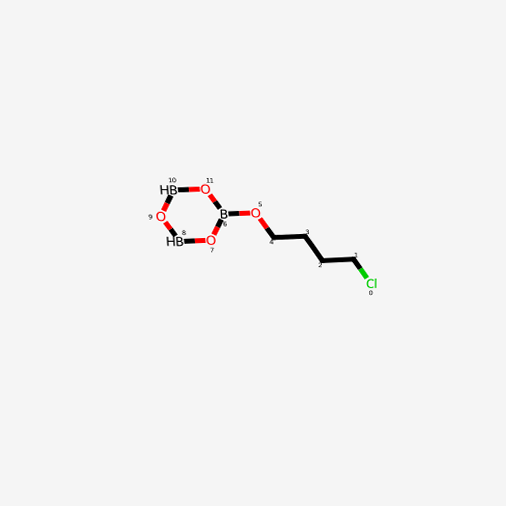 ClCCCCOB1OBOBO1